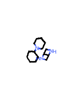 C1CCC(N2CCCCC2)CC1.C1NC2CNC12